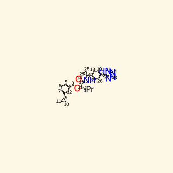 CC(C)[C@@H](OCc1cccc(C2CC2)c1)C(=O)NC1(c2ccc(-c3nnn[nH]3)cc2)CC1